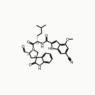 COc1cc(C#N)cc2[nH]c(C(=O)N[C@@H](CCC(C)C)C(=O)N3C[C@]4(C[C@H]3C=O)C(=O)Nc3ccccc34)cc12